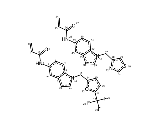 C=CC(=O)Nc1ccc2c(ccn2Cc2ccc(C(F)(F)F)o2)c1.C=CC(=O)Nc1ccc2c(ccn2Cc2cscn2)c1